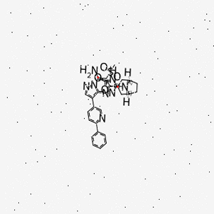 CS(=O)(=O)c1c([C@H]2C[C@H]3CC[C@@H](C2)N3c2noc(=O)[nH]2)nc2c(-c3ccc(-c4ccccc4)nc3)cnn2c1N